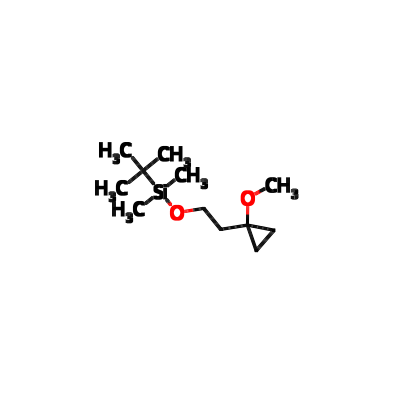 COC1(CCO[Si](C)(C)C(C)(C)C)CC1